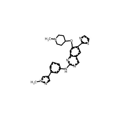 CN1CCC(Oc2cc3nc(Nc4cccc(-c5cnn(C)c5)c4)ncc3cc2-c2nccs2)CC1